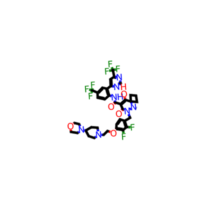 CN1N(Cc2ccc(OCCN3CCC(N4CCOCC4)CC3)c(F)c2F)C(=O)C(C(=O)Nc2ccc(C(F)(F)F)cc2-c2cc(C(F)(F)F)ncn2)=C(O)C12CCC2